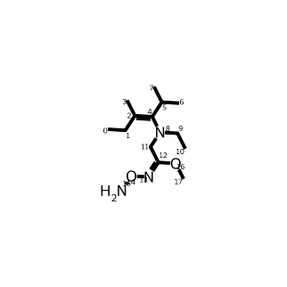 CC/C(C)=C(/C(C)C)N(CC)C/C(=N\ON)OC